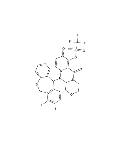 O=C1c2c(OS(=O)(=O)C(F)(F)F)c(=O)ccn2N(C2c3ccccc3SCc3c2ccc(F)c3F)C2COCCN12